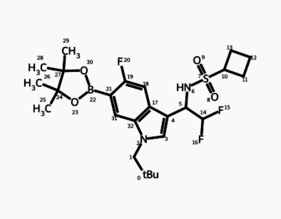 CC(C)(C)Cn1cc(C(NS(=O)(=O)C2CCC2)C(F)F)c2cc(F)c(B3OC(C)(C)C(C)(C)O3)cc21